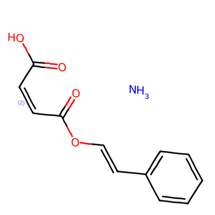 N.O=C(O)/C=C\C(=O)OC=Cc1ccccc1